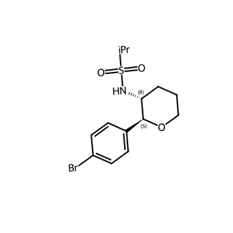 CC(C)S(=O)(=O)N[C@@H]1CCCO[C@H]1c1ccc(Br)cc1